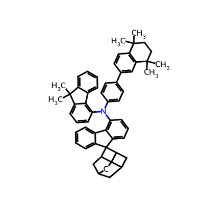 CC1(C)CCC(C)(C)c2cc(-c3ccc(N(c4cccc5c4-c4ccccc4C5(C)C)c4cccc5c4-c4ccccc4C54C5CC6CC7CC4C75C6)cc3)ccc21